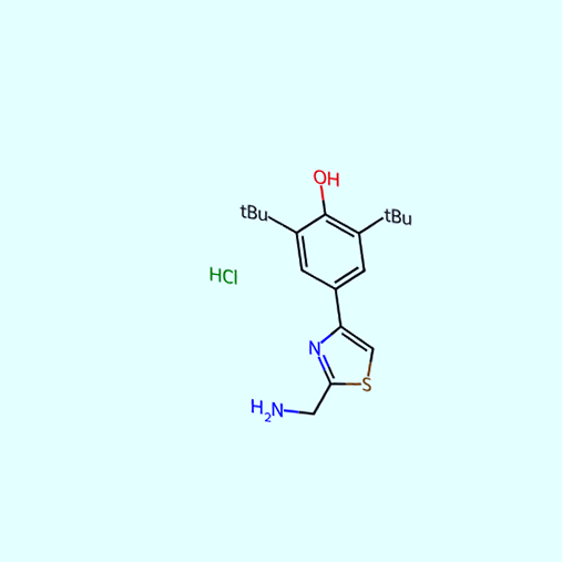 CC(C)(C)c1cc(-c2csc(CN)n2)cc(C(C)(C)C)c1O.Cl